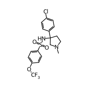 CN1CCC(NS(=O)(=O)c2ccc(OC(F)(F)F)cc2)(c2ccc(Cl)cc2)C1